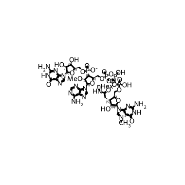 CCCCCCNC(=O)C[C@H]1[C@@H](O)[C@H](n2c[n+](C)c3c(=O)[nH]c(N)nc32)O[C@@H]1COP(=O)(O)OP(=O)(O)OP(=O)(O)OC[C@H]1O[C@@H](n2cnc3c(N)ncnc32)[C@H](OC)[C@@H]1P(=O)([O-])OC[C@H]1O[C@@H](n2cnc3c(=O)[nH]c(N)nc32)[C@H](O)[C@@H]1O